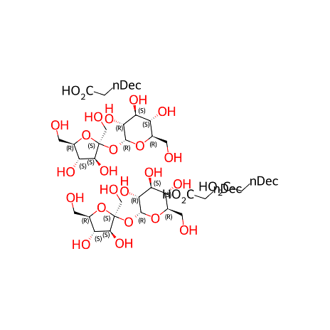 CCCCCCCCCCCC(=O)O.CCCCCCCCCCCC(=O)O.CCCCCCCCCCCC(=O)O.OC[C@H]1O[C@@](CO)(O[C@H]2O[C@H](CO)[C@@H](O)[C@H](O)[C@H]2O)[C@@H](O)[C@@H]1O.OC[C@H]1O[C@@](CO)(O[C@H]2O[C@H](CO)[C@@H](O)[C@H](O)[C@H]2O)[C@@H](O)[C@@H]1O